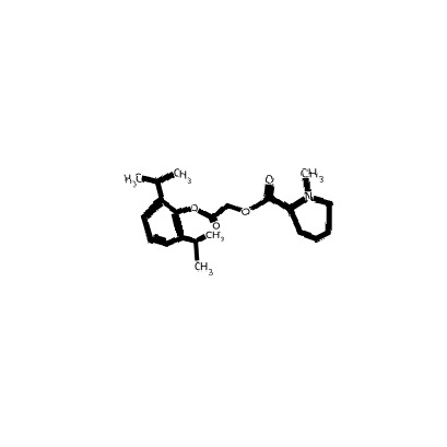 CC(C)c1cccc(C(C)C)c1OC(=O)COC(=O)C1CCCCN1C